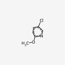 COc1c[c]c(Cl)cn1